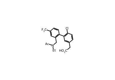 CCN(Cc1cc(C(F)(F)F)ccc1-c1cc(CC(=O)O)ccc1Cl)C(C)=O